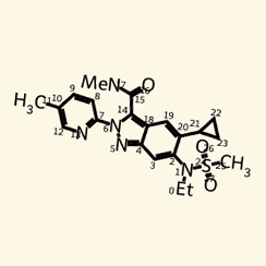 CCN(c1cc2nn(-c3ccc(C)cn3)c(C(=O)NC)c2cc1C1CC1)S(C)(=O)=O